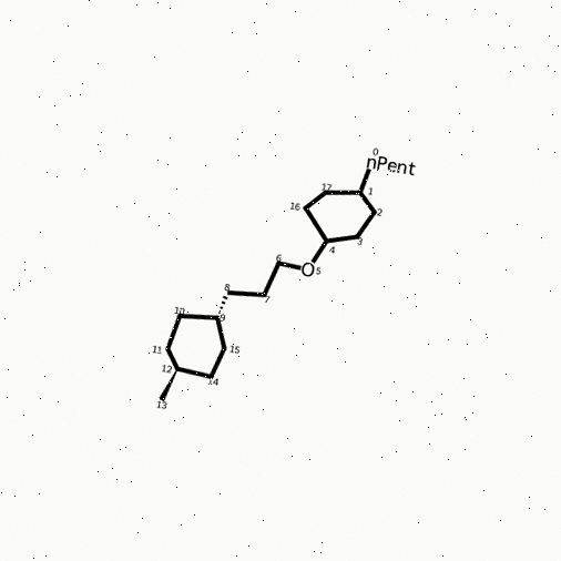 CCCCCC1CCC(OCCC[C@H]2CC[C@H](C)CC2)CC1